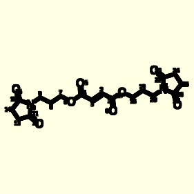 O=C(/C=C/C(=O)OCCCN1C(=O)CCC1=O)OCCCN1C(=O)CCC1=O